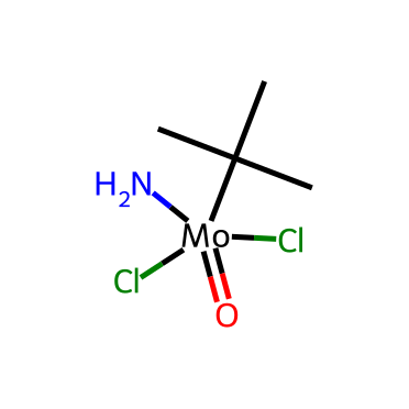 C[C](C)(C)[Mo]([NH2])(=[O])([Cl])[Cl]